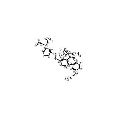 CCC(c1cccc(OCc2cnc(-c3cc(OC)ccc3F)c(CC(C)(C)C)c2)c1)C1CC1